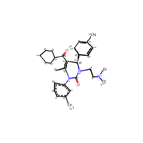 CCN(CC)CCN1C(=O)N(c2cccc(C(F)(F)F)c2)C(C)=C(C(=O)C2CCCCC2)[C@H]1C1C=CC(C#N)=CC1